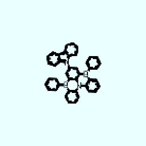 c1ccc(B2c3ccccc3N3c4ccccc4B(c4ccccc4)c4cc(-n5c6ccccc6c6ccccc65)cc2c43)cc1